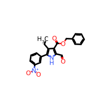 CCc1c(-c2cccc([N+](=O)[O-])c2)[nH]c(C=O)c1C(=O)OCc1ccccc1